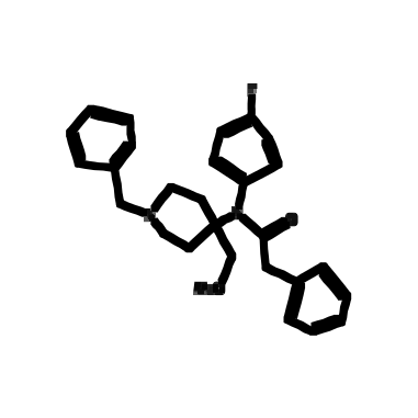 COCC1(N(C(=O)Cc2ccccc2)c2ccc(F)cc2)CCN(Cc2ccccc2)CC1